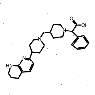 O=C(O)[C@@H](c1ccccc1)N1CCC(CN2CCC(c3ccc4c(n3)NCCC4)CC2)CC1